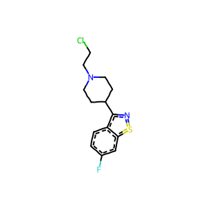 Fc1ccc2c(C3CCN(CCCl)CC3)nsc2c1